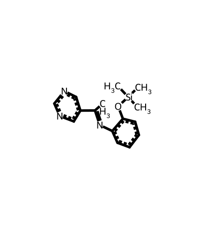 CC(=Nc1ccccc1O[Si](C)(C)C)c1cncnc1